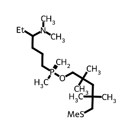 C=P(C)(CCCC(CC)N(C)C)OCC(C)(C)CC(C)(C)CSC